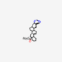 COC(=O)C12CCCCC1C1=CCC3C4Cc5cncnc5CC4CCC3C1CC2